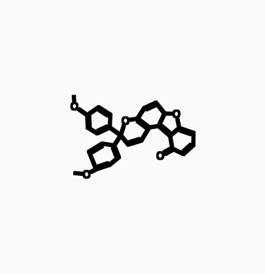 COc1ccc(C2(c3ccc(OC)cc3)C=CC3=C(C=CC4OC5=CC=CC(=O)C5=C34)O2)cc1